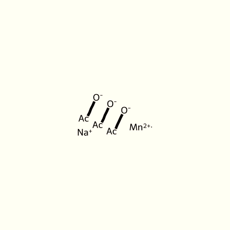 CC(=O)[O-].CC(=O)[O-].CC(=O)[O-].[Mn+2].[Na+]